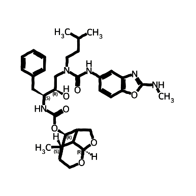 CNc1nc2cc(NC(=O)N(CCC(C)C)C[C@@H](O)[C@H](Cc3ccccc3)NC(=O)O[C@H]3C4CO[C@H]5OCC3[C@H](C)C45)ccc2o1